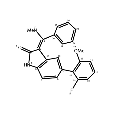 CNC(=C1C(=O)Nc2ccc(-c3c(F)cccc3OC)cc21)c1ccccc1